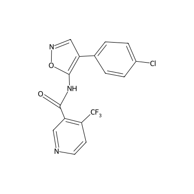 O=C(Nc1oncc1-c1ccc(Cl)cc1)c1cnccc1C(F)(F)F